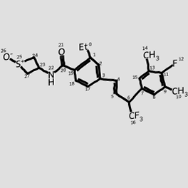 CCc1cc(/C=C/C(c2cc(C)c(F)c(C)c2)C(F)(F)F)ccc1C(=O)NC1C[S+]([O-])C1